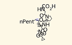 CCCCC/C=C\[C@@H]1C[C@]1(NC(=O)[C@@H]1CCCN1C(=O)CNC(=O)O)C(=O)N(C)S(=O)(=O)C1CC1